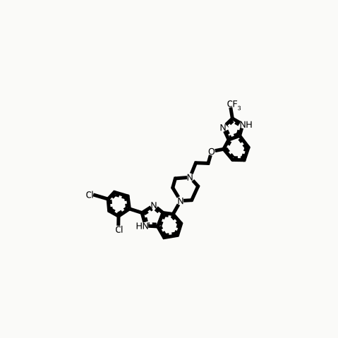 FC(F)(F)c1nc2c(OCCN3CCN(c4cccc5[nH]c(-c6ccc(Cl)cc6Cl)nc45)CC3)cccc2[nH]1